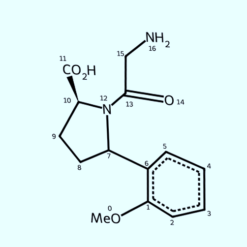 COc1ccccc1C1CC[C@@H](C(=O)O)N1C(=O)CN